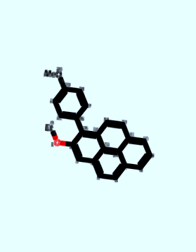 CCOc1cc2ccc3cccc4ccc(c1-c1ccc(OC)cc1)c2c34